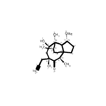 C#CC[C@]1(C)C[C@@H](O)[C@@]2(C)C3[C@H](OC)CCC3(CC[C@H]2C)[C@@H](C)C1=O